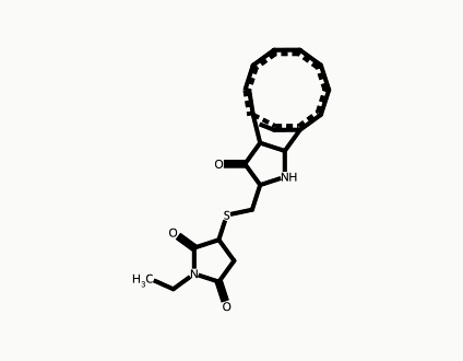 CCN1C(=O)CC(SCC2NC3c4cccccccc(c4)C3C2=O)C1=O